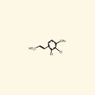 CCc1c(C=CC(=O)O)ccc(OC(C)=O)c1Cl